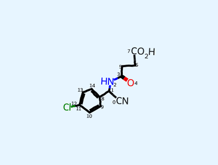 N#CC(NC(=O)CCC(=O)O)c1ccc(Cl)cc1